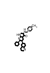 CN1CCN(CNc2c[nH]c3nc(-c4ccccc4)c(-c4ccc5ncccc5c4)cc3c2=O)CC1